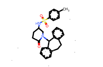 Cc1ccc(S(=O)(=O)NC2CCC(=O)N(C3c4ccccc4CCc4ccccc43)C2)cc1